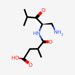 CC(C)C(=O)[C@@H](CN)NC(=O)C(C)CC(=O)O